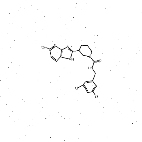 O=C(NCc1cc(Cl)cc(Cl)c1)N1CCCC(c2nc3nc(Cl)ccc3[nH]2)C1